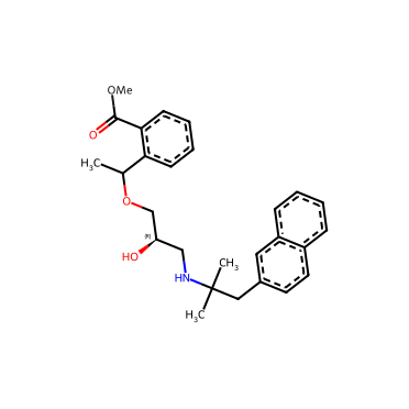 COC(=O)c1ccccc1C(C)OC[C@H](O)CNC(C)(C)Cc1ccc2ccccc2c1